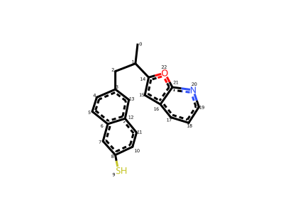 CC(Cc1ccc2cc(S)ccc2c1)c1cc2cccnc2o1